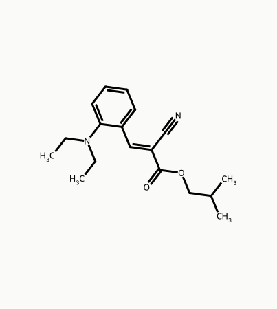 CCN(CC)c1ccccc1/C=C(\C#N)C(=O)OCC(C)C